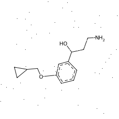 NCCC(O)c1cccc(OCC2CC2)c1